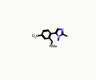 CNCc1cc([N+](=O)[O-])ccc1-c1cnc(C)n1C